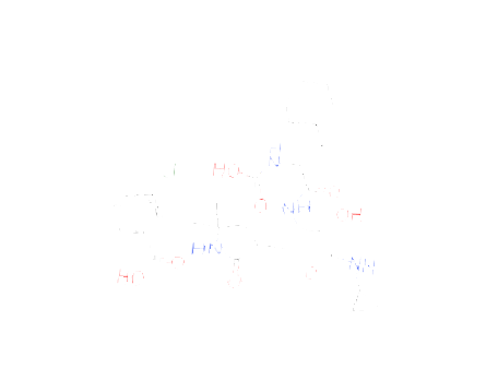 CC1(C)CC(CC(NC(=O)C(CC2CCCCC2)NC(=O)O)C(O)C(=O)NC2CC2)C(=O)N1.O=C(O)c1cccc(Cl)c1